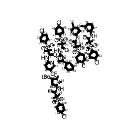 CC(C)(C(=O)Nc1ccc(C(F)(F)F)cn1)S(=O)(=O)c1ccc(Cl)cc1.CC(C)(C(=O)Nc1nc(-c2ccccc2)cs1)S(=O)(=O)c1ccc(Cl)cc1.Cc1ccc(NC(=O)C(C)(C)S(=O)(=O)c2ccc(Cl)cc2)nc1.Cc1cccc(NC(=O)C(C)(C)S(=O)(=O)c2ccc(Cl)cc2)n1.Cn1nc(C(C)(C)C)cc1NC(=O)C(C)(C)S(=O)(=O)c1ccc(Cl)cc1